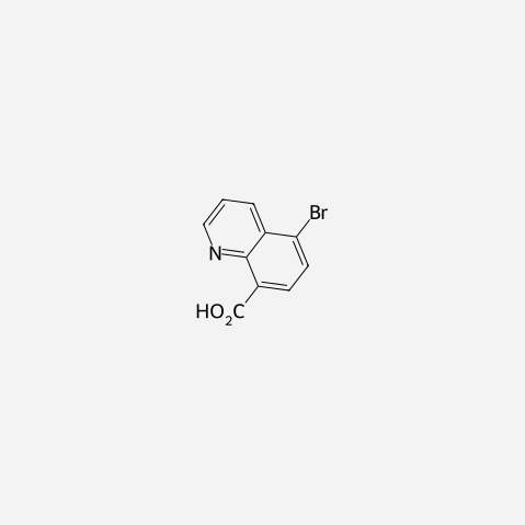 O=C(O)c1ccc(Br)c2cccnc12